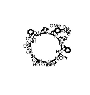 CC[C@H](C)[C@H]1C(=O)N[C@@H]([C@@H](C)O)C(=O)N(C)CC(=O)N(C)[C@@H](CC)C(=O)N[C@H](C(=O)N2CCCCC2)CC(=O)N(C)[C@@H](CC(C)C)C(=O)N[C@@H](Cc2ccc(C(=O)NS(C)(=O)=O)c(OC)c2)C(=O)N(C)[C@@H](CC(C)C)C(O)N(C)[C@@H](Cc2ccccc2)C(=O)N[C@@H](CC(C)C)C(=O)N(C)[C@@H](CC(C)C)C(=O)N1C